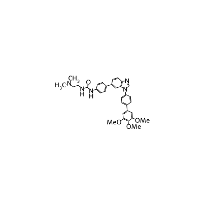 COc1cc(-c2ccc(-n3cnc4ccc(-c5ccc(NC(=O)NCCN(C)C)cc5)cc43)cc2)cc(OC)c1OC